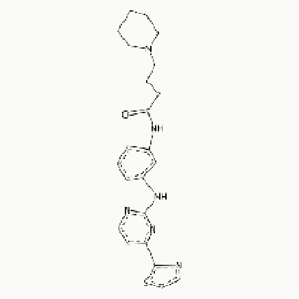 O=C(CCCN1CCCCC1)Nc1cccc(Nc2nccc(-c3nccs3)n2)c1